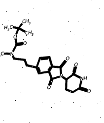 CN(CCCc1ccc2c(c1)C(=O)N(C1CCC(=O)NC1=O)C2=O)C(=O)OC(C)(C)C